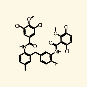 COc1c(Cl)cc(C(=O)Nc2ccc(C)cc2Cc2ccc(F)c(NC(=O)c3c(Cl)ccc(Cl)c3OC)c2)cc1Cl